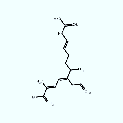 C=CC/C(=C\C=C(/C)C(=C)CC)C(C)CC/C=C/NC(=C)OC